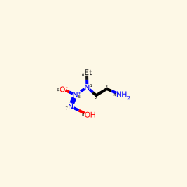 CCN(CCN)/[N+]([O-])=N\O